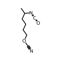 CC(CCCCOC#N)N=C=O